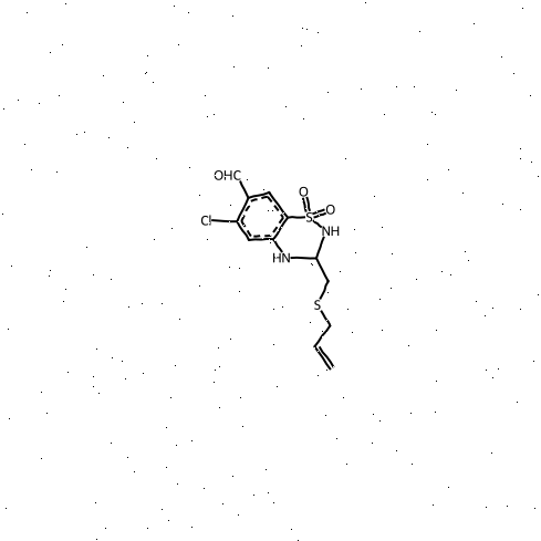 C=CCSCC1Nc2cc(Cl)c(C=O)cc2S(=O)(=O)N1